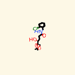 CC1(C)OC[C@H]([C@H](O)CCC(=O)NCc2ccccc2Cl)O1